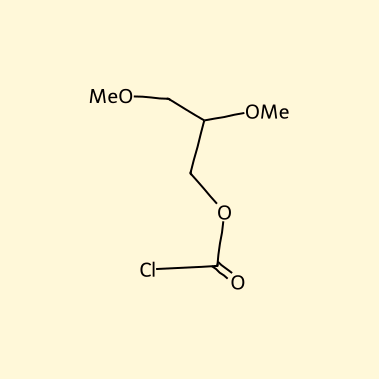 COCC(COC(=O)Cl)OC